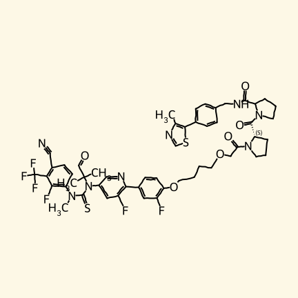 Cc1ncsc1-c1ccc(CNC(=O)C2CCCN2C(=O)[C@@H]2CCCN2C(=O)COCCCCOc2ccc(-c3ncc(N(C(=S)N(C)c4ccc(C#N)c(C(F)(F)F)c4F)C(C)(C)C=O)cc3F)cc2F)cc1